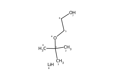 CC(C)(C)OCCO.[LiH]